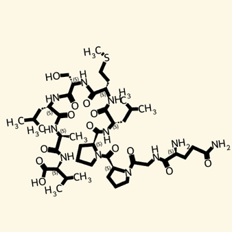 CSCC[C@H](NC(=O)[C@H](CC(C)C)NC(=O)[C@@H]1CCCN1C(=O)[C@@H]1CCCN1C(=O)CNC(=O)[C@@H](N)CCC(N)=O)C(=O)N[C@@H](CO)C(=O)N[C@@H](CC(C)C)C(=O)N[C@@H](C)C(=O)N[C@H](C(=O)O)C(C)C